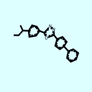 CCC(C)c1ccc(-c2nnc(-c3ccc(-c4ccccc4)cc3)o2)cc1